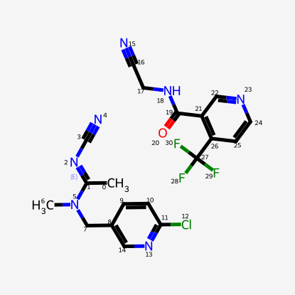 C/C(=N\C#N)N(C)Cc1ccc(Cl)nc1.N#CCNC(=O)c1cnccc1C(F)(F)F